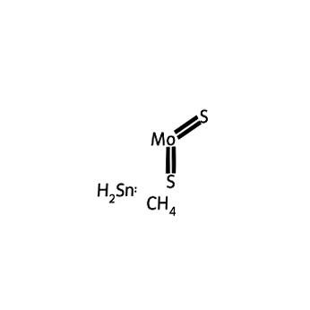 C.[S]=[Mo]=[S].[SnH2]